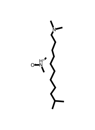 CC(C)CCCCCCCCCN(C)C.C[NH+](C)[O-]